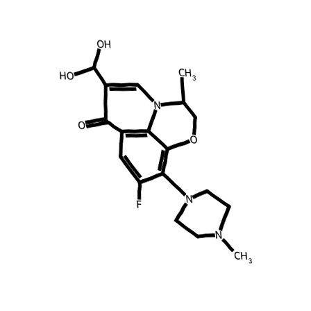 CC1COc2c(N3CCN(C)CC3)c(F)cc3c(=O)c(C(O)O)cn1c23